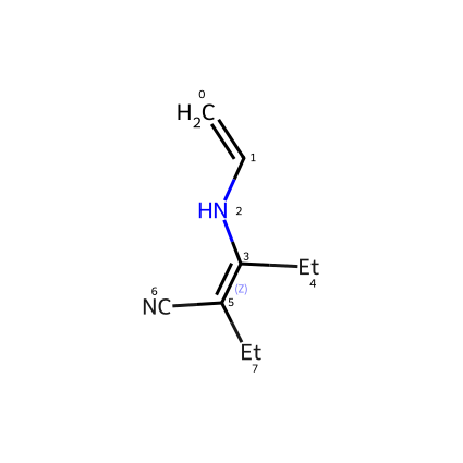 C=CN/C(CC)=C(\C#N)CC